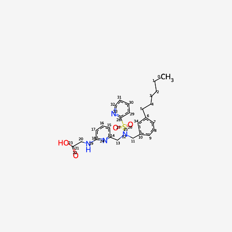 CCCCCCc1cccc(CN(Cc2cccc(NCC(=O)O)n2)S(=O)(=O)c2ccccn2)c1